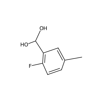 Cc1ccc(F)c(C(O)O)c1